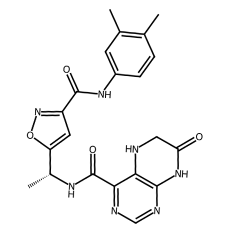 Cc1ccc(NC(=O)c2cc([C@@H](C)NC(=O)c3ncnc4c3NCC(=O)N4)on2)cc1C